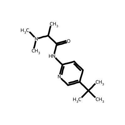 CC(C(=O)Nc1ccc(C(C)(C)C)cn1)N(C)C